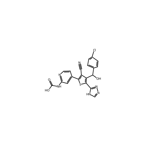 N#Cc1c(-c2ccnc(NC(=O)O)c2)sc(-c2nnc[nH]2)c1C(O)c1ccc(Cl)cc1